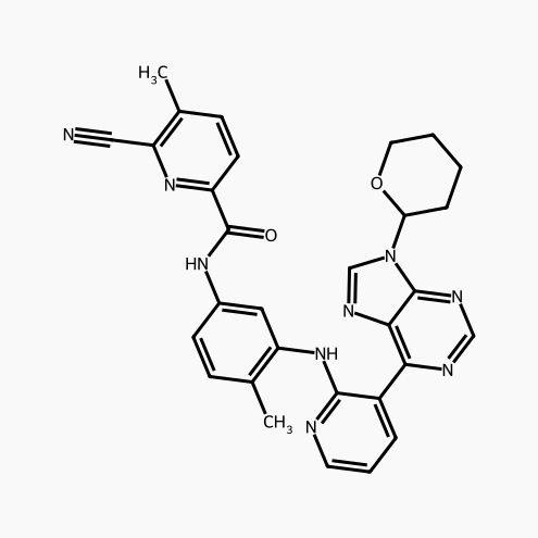 Cc1ccc(NC(=O)c2ccc(C)c(C#N)n2)cc1Nc1ncccc1-c1ncnc2c1ncn2C1CCCCO1